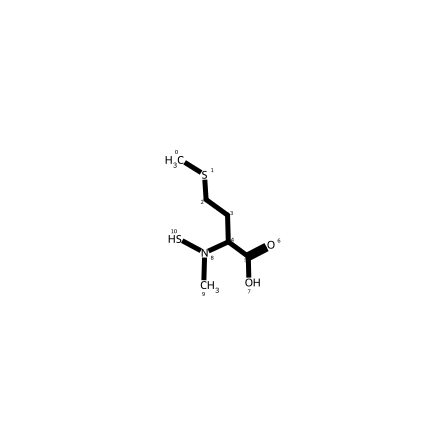 CSCCC(C(=O)O)N(C)S